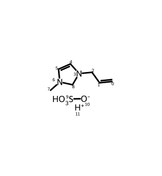 C=CCN1C=CN(C)C1.O=S(=O)([O-])O.[H+]